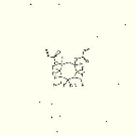 C=CC(=O)OC1(F)CC(F)(OC(=O)C=C)C(F)(F)C(F)(CF)C(F)(F)C(F)(CF)C1(F)F